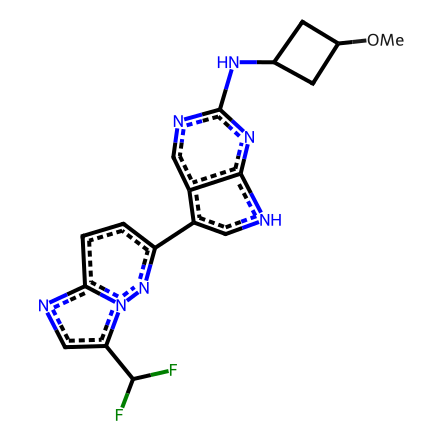 COC1CC(Nc2ncc3c(-c4ccc5ncc(C(F)F)n5n4)c[nH]c3n2)C1